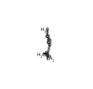 C=CC(=O)OCC(CCCCCCOc1ccc2cc(-c3ccc(CCCCC)cc3)ccc2c1)OC(=O)C=C